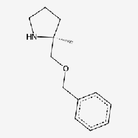 C[C@@]1(COCc2ccccc2)CCCN1